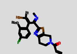 C=CC(=O)N1CCc2nc(C(=N/C)/C(=C(/S)CC)c3ccc(F)cc3OC)sc2C1